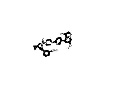 CCOc1cc(-c2ccc(N3CCN(S(=O)(=O)CC4(C#Cc5cccc(OC)c5)CC4)CC3)nc2)c2c(C#N)cnn2c1